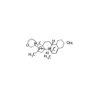 CC1=C(C2CCCOC2)[C@@]2(C)CC[C@H]3[C@@H]([C@@H](C)C=C4C[C@@H](O)CC[C@@]43C)[C@@H]2C1